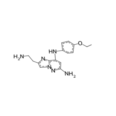 CCOc1ccc(Nc2cc(N)nn3cc(CCN)nc23)cc1